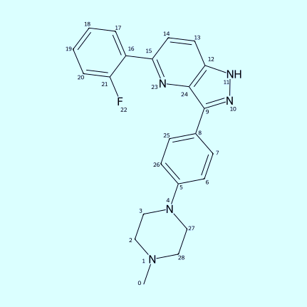 CN1CCN(c2ccc(-c3n[nH]c4ccc(-c5ccccc5F)nc34)cc2)CC1